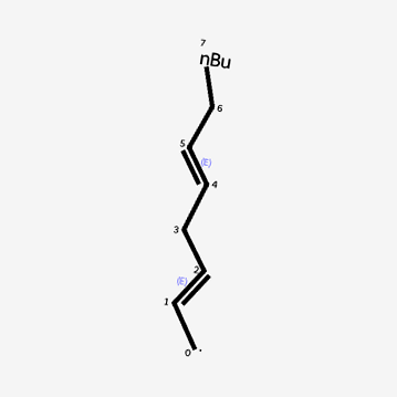 [CH2]/C=C/C/C=C/CCCCC